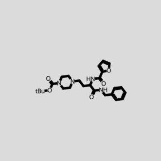 CC(C)(C)OC(=O)N1CCN(CCC(NC(=O)c2ccco2)C(=O)NCc2ccccc2)CC1